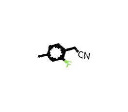 Cc1ccc(CC#N)c(F)c1